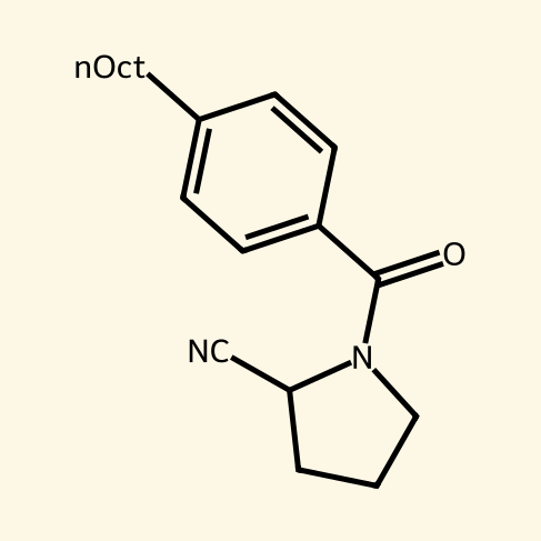 CCCCCCCCc1ccc(C(=O)N2CCCC2C#N)cc1